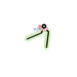 NS(=O)(=O)c1cccc(OC(F)=C(F)C(F)(F)C(F)(F)C(F)(F)C(F)(F)C(F)(F)C(F)(F)C(F)(F)C(F)(F)F)c1OC(F)=C(F)C(F)(F)C(F)(F)C(F)(F)C(F)(F)C(F)(F)C(F)(F)C(F)(F)C(F)(F)F